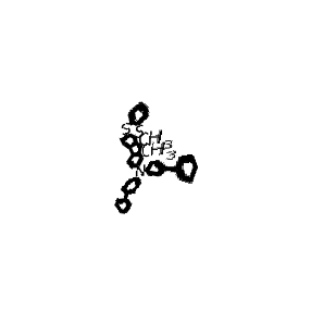 CC1(C)c2cc(N(c3ccc(-c4ccccc4)cc3)c3ccc(-c4ccccc4)cc3)ccc2-c2ccc3c(c21)Sc1ccccc1S3